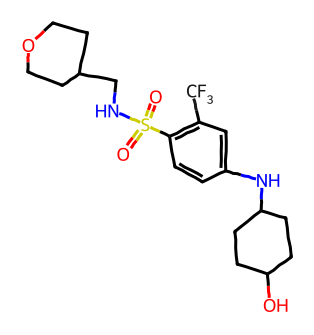 O=S(=O)(NCC1CCOCC1)c1ccc(NC2CCC(O)CC2)cc1C(F)(F)F